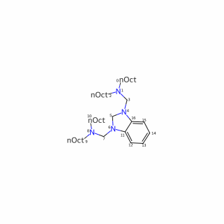 CCCCCCCCN(CCCCCCCC)CN1CN(CN(CCCCCCCC)CCCCCCCC)c2ccccc21